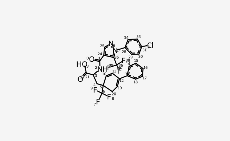 O=C(NC(CC1(C(F)(F)F)C=CC(c2ccccc2)=CC1)C(=O)O)c1cnn(-c2ccc(Cl)cc2)c1C(F)(F)F